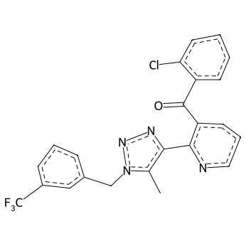 Cc1c(-c2ncccc2C(=O)c2ccccc2Cl)nnn1Cc1cccc(C(F)(F)F)c1